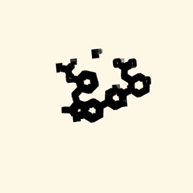 Cc1nc2ccc(-c3cnc(N4CCOCC4CC(=O)[O-])nc3)cn2c1Cc1ccccc1OC(F)F.[K+]